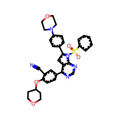 N#Cc1cc(-c2ncnc3c2cc(-c2ccc(N4CCOCC4)cc2)n3S(=O)(=O)c2ccccc2)ccc1OC1CCOCC1